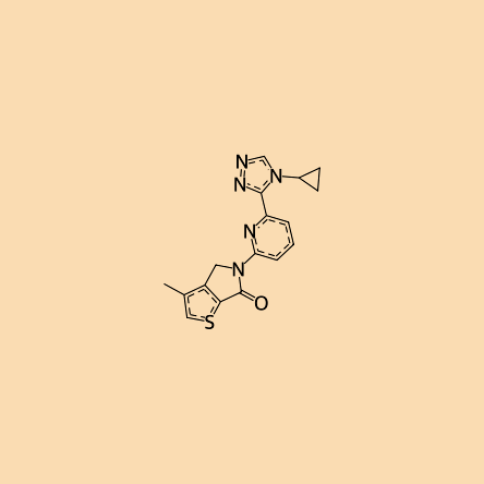 Cc1csc2c1CN(c1cccc(-c3nncn3C3CC3)n1)C2=O